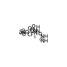 O=c1c(-c2ccc(S(=O)(=O)c3cccs3)cc2C(F)(F)F)cc2cnc(Nc3ccc(NC4CCCNC4)cc3)nc2n1-c1ccccc1